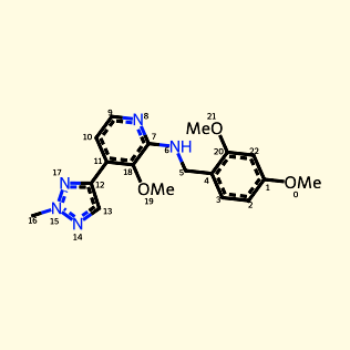 COc1ccc(CNc2nccc(-c3cnn(C)n3)c2OC)c(OC)c1